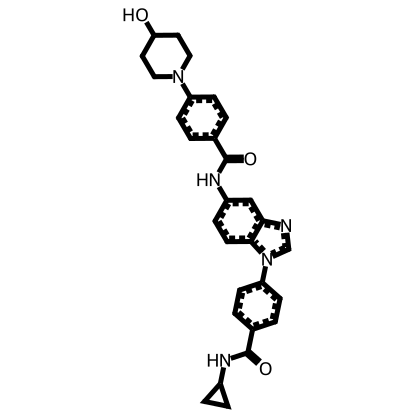 O=C(Nc1ccc2c(c1)ncn2-c1ccc(C(=O)NC2CC2)cc1)c1ccc(N2CCC(O)CC2)cc1